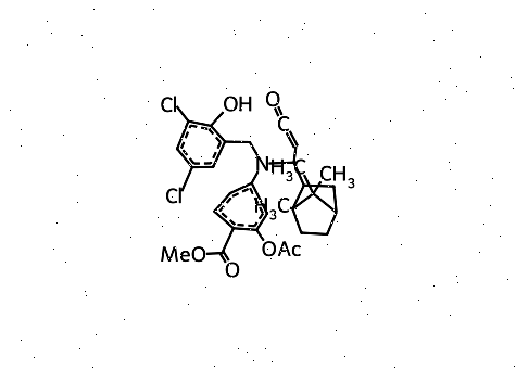 COC(=O)c1ccc(N(Cc2cc(Cl)cc(Cl)c2O)C(C=C=O)C2CC3CCC2(C)C3(C)C)cc1OC(C)=O